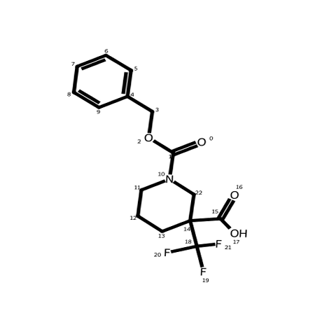 O=C(OCc1ccccc1)N1CCCC(C(=O)O)(C(F)(F)F)C1